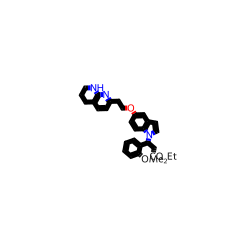 CCOC(=O)CC(c1ccccc1OC)n1ccc2cc(OCCc3ccc4c(n3)NCCC4)ccc21